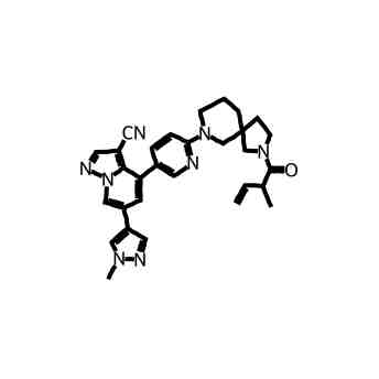 C=CC(C)C(=O)N1CCC2(CCCN(c3ccc(-c4cc(-c5cnn(C)c5)cn5ncc(C#N)c45)cn3)C2)C1